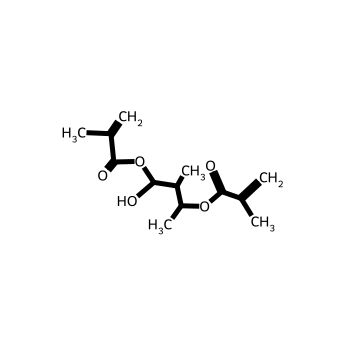 C=C(C)C(=O)OC(C)C(C)C(O)OC(=O)C(=C)C